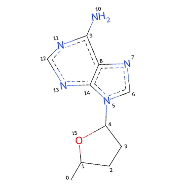 CC1CCC(n2cnc3c(N)ncnc32)O1